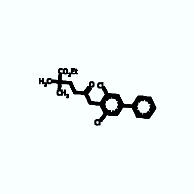 CCOC(=O)C(C)(C)CCC(=O)Cc1c(Cl)cc(-c2ccccc2)cc1Cl